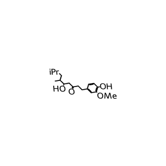 COc1cc(CCC(=O)C[C@@H](O)C(C)CC(C)C)ccc1O